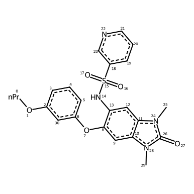 CCCOc1cccc(Oc2cc3c(cc2NS(=O)(=O)c2cccnc2)n(C)c(=O)n3C)c1